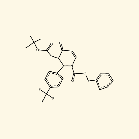 CC(C)(C)OC(=O)CC1C(=O)C=CN(C(=O)OCc2ccccc2)C1c1ccc(C(F)(F)F)cc1